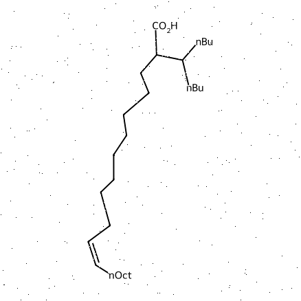 CCCCCCCC/C=C\CCCCCCCCC([C](CCCC)CCCC)C(=O)O